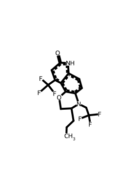 CCCC1COc2c(ccc3[nH]c(=O)cc(C(F)(F)F)c23)N1CC(F)(F)F